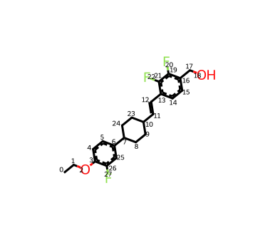 CCOc1ccc(C2CCC(/C=C/c3ccc(CO)c(F)c3F)CC2)cc1F